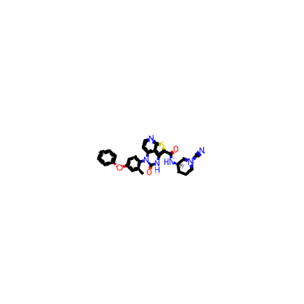 Cc1cc(Oc2ccccc2)ccc1N1C(=O)Nc2c(C(=O)N[C@@H]3CCCN(C#N)C3)sc3nccc1c23